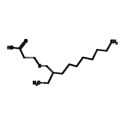 CCCCCCCCC(CC)CSCCC(=O)O